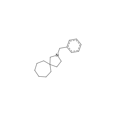 c1ccc(CN2CCC3(CCCCCC3)C2)cc1